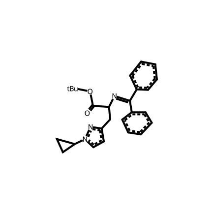 CC(C)(C)OC(=O)C(Cc1ccn(C2CC2)n1)N=C(c1ccccc1)c1ccccc1